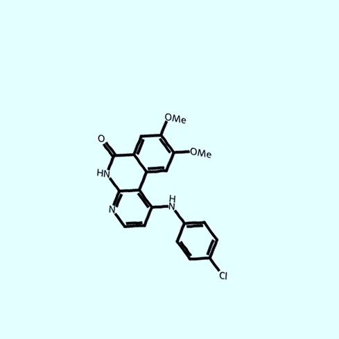 COc1cc2c(=O)[nH]c3nccc(Nc4ccc(Cl)cc4)c3c2cc1OC